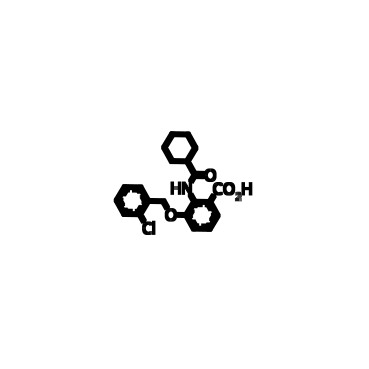 O=C(O)c1cccc(OCc2ccccc2Cl)c1NC(=O)C1CCCCC1